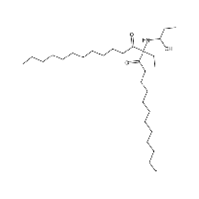 CCCCCCCCCCCC(=O)C(CC)(NC(O)CC)C(=O)CCCCCCCCCCC